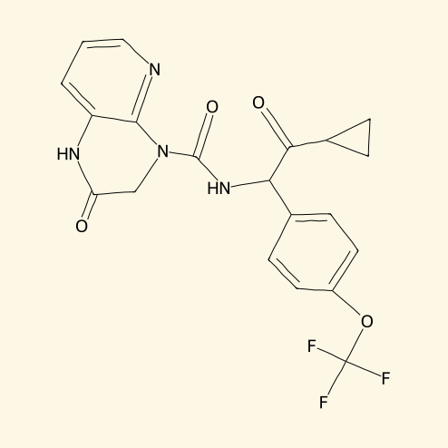 O=C1CN(C(=O)NC(C(=O)C2CC2)c2ccc(OC(F)(F)F)cc2)c2ncccc2N1